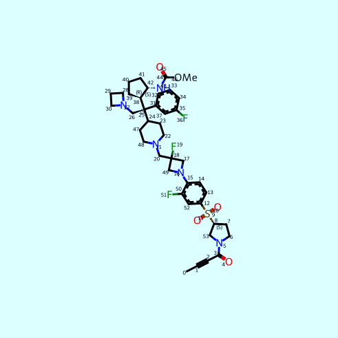 CC#CC(=O)N1CC[C@H](S(=O)(=O)c2ccc(N3CC(F)(CN4CCC([C@@](CN5CCC5)(c5cccc(F)c5)[C@H]5CCC[C@@H]5NC(=O)OC)CC4)C3)c(F)c2)C1